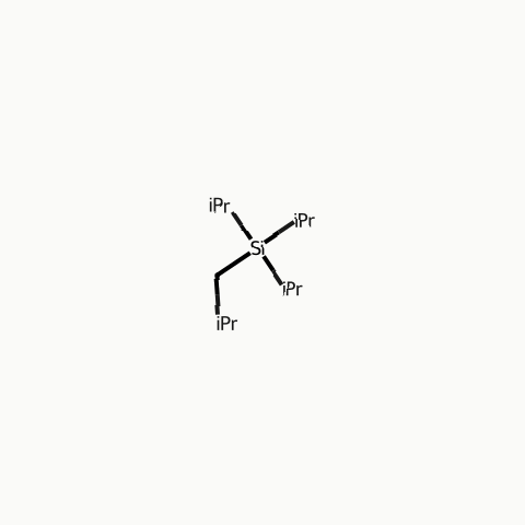 CC(C)C[Si](C(C)C)(C(C)C)C(C)C